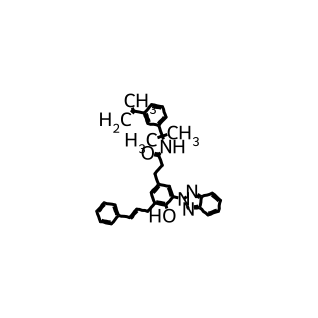 C=C(C)c1cccc(C(C)(C)NC(=O)CCc2cc(C/C=C/c3ccccc3)c(O)c(-n3nc4ccccc4n3)c2)c1